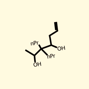 C=CCC(O)C(CCC)(CCC)C(C)O